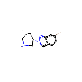 C[C@@H]1C[C@@H](n2cc3ccc(Br)cc3n2)CN(C)C1